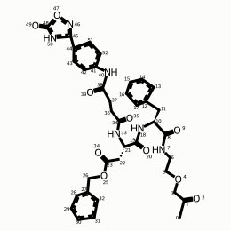 CC(=O)COCCNC(=O)[C@H](Cc1ccccc1)NC(=O)[C@H](CC(=O)OCc1ccccc1)NC(=O)CCC(=O)Nc1ccc(-c2noc(=O)[nH]2)cc1